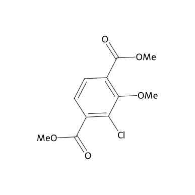 COC(=O)c1ccc(C(=O)OC)c(OC)c1Cl